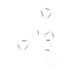 O=C(OCc1ccccc1)c1cc(CC(=S)N2CCOCC2)ccc1OCc1ccccc1